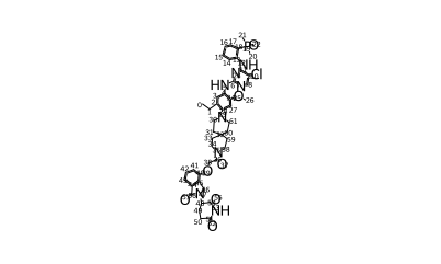 CCc1cc(Nc2ncc(Cl)c(Nc3ccccc3P(C)(C)=O)n2)c(OC)cc1N1CCC2(CCN(C(=O)COc3cccc4c3CN(C3CCC(=O)NC3=O)C4=O)CC2)CC1